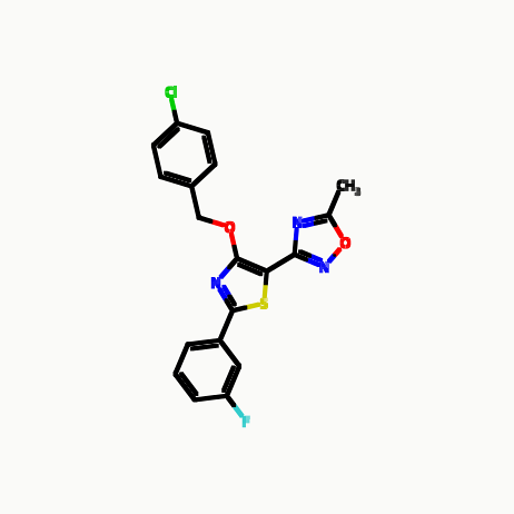 Cc1nc(-c2sc(-c3cccc(F)c3)nc2OCc2ccc(Cl)cc2)no1